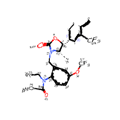 C=C/C(=C\C(=C/C)[C@H]1OC(=O)N(Cc2cc(OC(F)(F)F)ccc2N(CC(C)C)C(=O)OC)[C@H]1C)C(F)(F)F